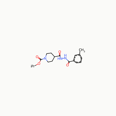 Cc1cccc(C(=O)NNC(=O)C2CCN(C(=O)OC(C)C)CC2)c1